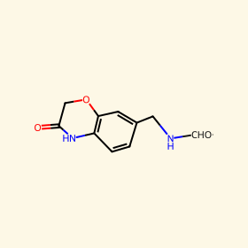 O=[C]NCc1ccc2c(c1)OCC(=O)N2